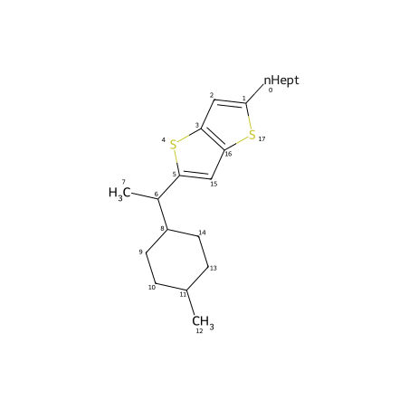 CCCCCCCc1cc2sc(C(C)C3CCC(C)CC3)cc2s1